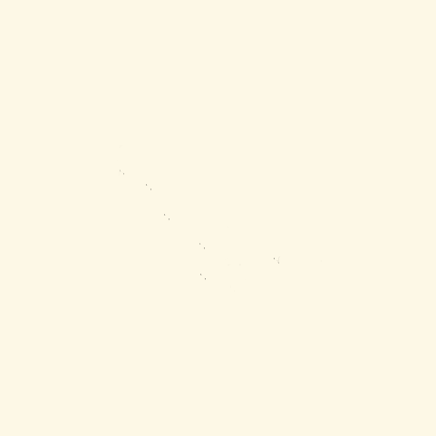 CCN1CCc2sc3ncn(CCN4CCN(c5ccccn5)CC4)c(=O)c3c2C1